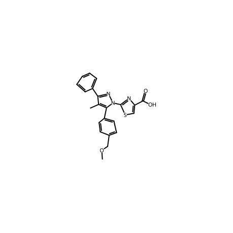 COCc1ccc(-c2c(C)c(-c3ccccc3)nn2-c2nc(C(=O)O)cs2)cc1